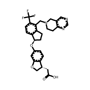 O=C(O)C[C@@H]1COc2cc(O[C@@H]3CCc4c3ccc(C(F)(F)F)c4CN3CCc4ncncc4C3)ccc21